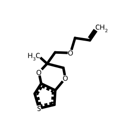 C=CCOCC1(C)COc2cscc2O1